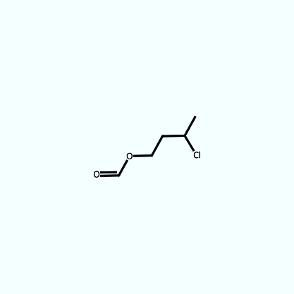 CC(Cl)CCOC=O